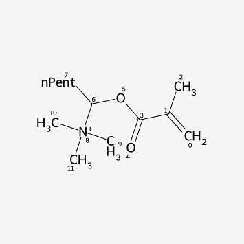 C=C(C)C(=O)OC(CCCCC)[N+](C)(C)C